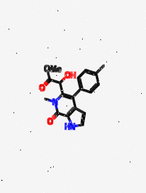 COC(=O)C(O)c1c(-c2ccc(C)cc2)c2cc[nH]c2c(=O)n1C